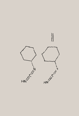 C=C.N=C=NC1CCCCC1.N=C=NC1CCCCC1